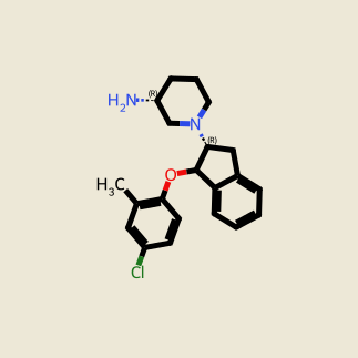 Cc1cc(Cl)ccc1OC1c2ccccc2C[C@H]1N1CCC[C@@H](N)C1